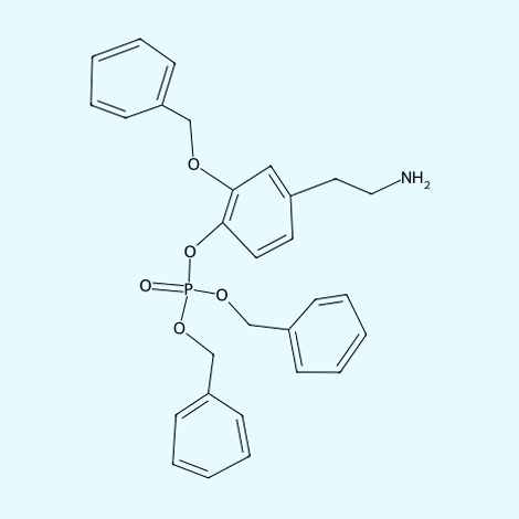 NCCc1ccc(OP(=O)(OCc2ccccc2)OCc2ccccc2)c(OCc2ccccc2)c1